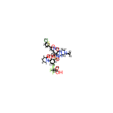 COc1c(N2CCCCC2=O)cc(F)cc1S(=O)(=O)N[C@@H](Cc1cc(-c2ccc(Cl)s2)on1)C(=O)N1CCN(C2CC2)CC1.O=C(O)C(F)(F)F